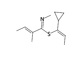 C/C=C(\SC(=N\C)/C(C)=C/C)C1CC1